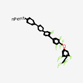 CCCCCC1CCC(C2CCC(c3ccc(-c4cc(F)c(C(F)(F)Oc5cc(F)c(C(F)F)c(F)c5)c(F)c4)c(F)c3)CC2)CC1